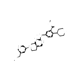 COCc1cncc(N2CCc3cnc(Nc4ccc(C5CCOCC5)c(C(=O)OC)c4)nc3C2)c1